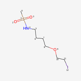 CS(=O)(=O)NCCCCOCCI